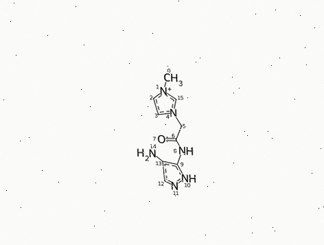 C[n+]1ccn(CC(=O)Nc2[nH]ncc2N)c1